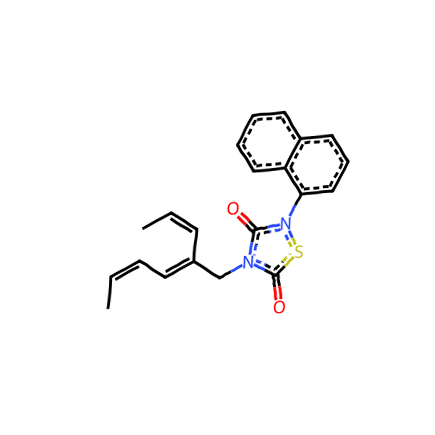 C\C=C/C=C(\C=C/C)Cn1c(=O)sn(-c2cccc3ccccc23)c1=O